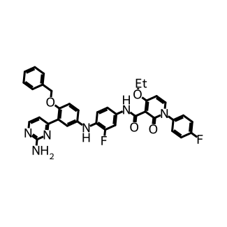 CCOc1ccn(-c2ccc(F)cc2)c(=O)c1C(=O)Nc1ccc(Nc2ccc(OCc3ccccc3)c(-c3ccnc(N)n3)c2)c(F)c1